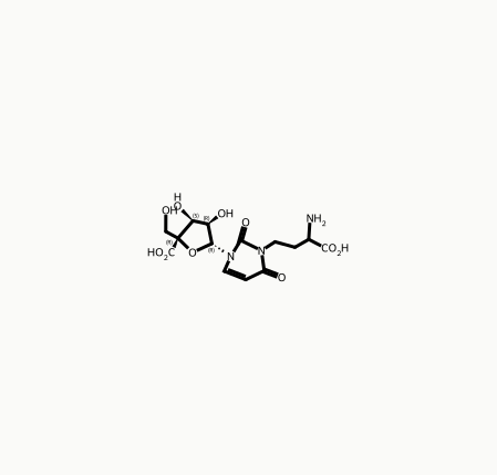 NC(CCn1c(=O)ccn([C@@H]2O[C@@](CO)(C(=O)O)[C@@H](O)[C@H]2O)c1=O)C(=O)O